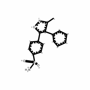 Cc1noc(-c2ccc(S(N)(=O)=O)cc2)c1-c1ccccc1